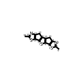 Cc1nc2c(s1)-c1sc3c(c1C2)Cc1nc(C)sc1-3